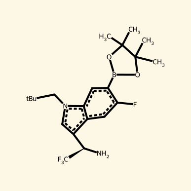 CC(C)(C)Cn1cc([C@@H](N)C(F)(F)F)c2cc(F)c(B3OC(C)(C)C(C)(C)O3)cc21